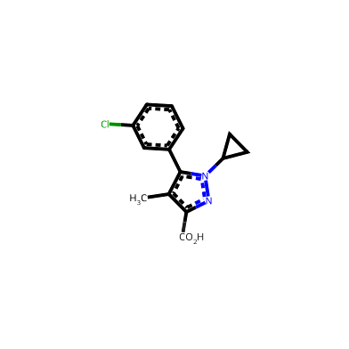 Cc1c(C(=O)O)nn(C2CC2)c1-c1cccc(Cl)c1